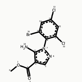 COC(=O)c1cnn(-c2c(Cl)cc(Cl)cc2Br)c1N